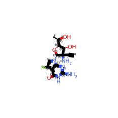 C#CC1(N)[C@@H](O)[C@@H]([C@@H](C)O)O[C@H]1n1cc(F)c2c(=O)[nH]c(N)nc21